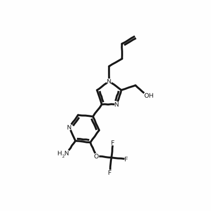 C=CCCn1cc(-c2cnc(N)c(OC(F)(F)F)c2)nc1CO